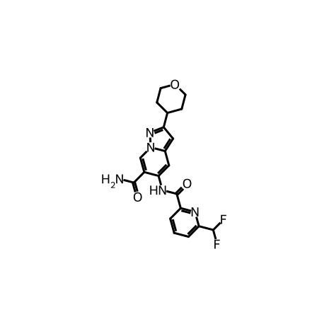 NC(=O)c1cn2nc(C3CCOCC3)cc2cc1NC(=O)c1cccc(C(F)F)n1